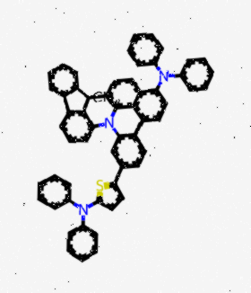 CC12c3ccccc3-c3cccc(c31)N1c3cc(-c4ccc(N(c5ccccc5)c5ccccc5)s4)ccc3-c3ccc(N(c4ccccc4)c4ccccc4)c4ccc2c1c34